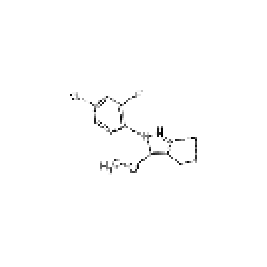 COc1c2c(nn1-c1ccc(Cl)cc1F)CCC2